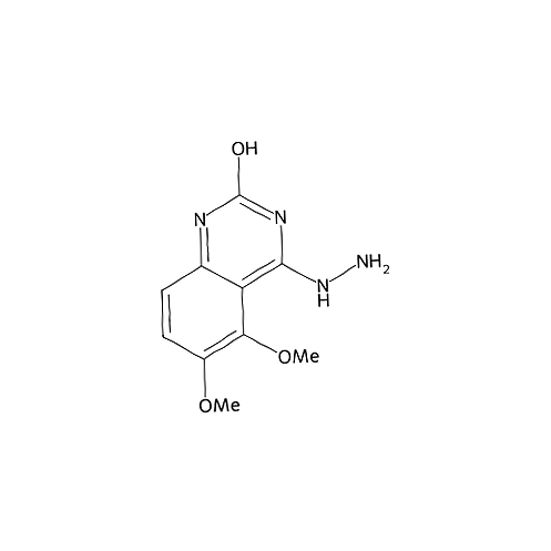 COc1ccc2nc(O)nc(NN)c2c1OC